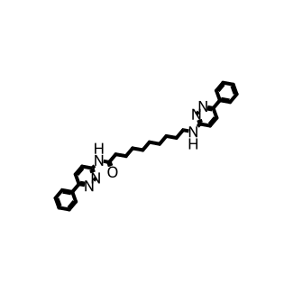 O=C(CCCCCCCCCNc1ccc(-c2ccccc2)nn1)Nc1ccc(-c2ccccc2)nn1